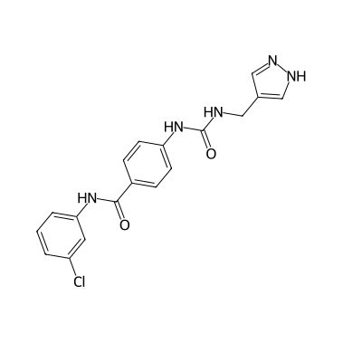 O=C(NCc1cn[nH]c1)Nc1ccc(C(=O)Nc2cccc(Cl)c2)cc1